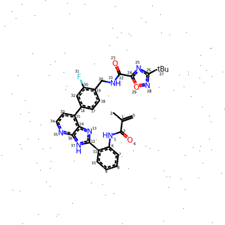 C=C(C)C(=O)Nc1ccccc1-c1nc2c(-c3ccc(CNC(=O)c4nc(C(C)(C)C)no4)c(F)c3)ccnc2[nH]1